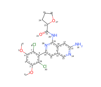 COc1cc(OC)c(Cl)c(-c2cc3cnc(N)cc3c(NC(=O)C3CCCO3)n2)c1Cl